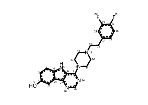 Oc1ccc2[nH]c3c(N4CCN(CCc5ccc(F)c(F)c5)CC4)ncnc3c2c1